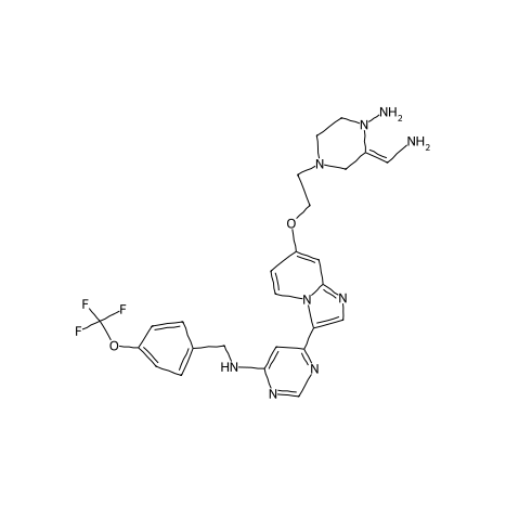 N/C=C1/CN(CCOc2ccn3c(-c4cc(NCc5ccc(OC(F)(F)F)cc5)ncn4)cnc3c2)CCN1N